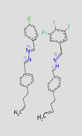 C=CCCc1ccc(/C=N/N=C/c2cc(F)c(F)c(F)c2)cc1.C=CCCc1ccc(/C=N/N=C/c2ccc(Cl)cc2)cc1